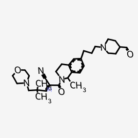 CC1c2ccc(CCCN3CCC(C=O)CC3)cc2CCN1C(=O)/C(C#N)=C/C(C)(C)CN1CCOCC1